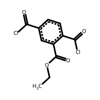 CCOC(=O)c1cc(C(=O)Cl)ccc1C(=O)Cl